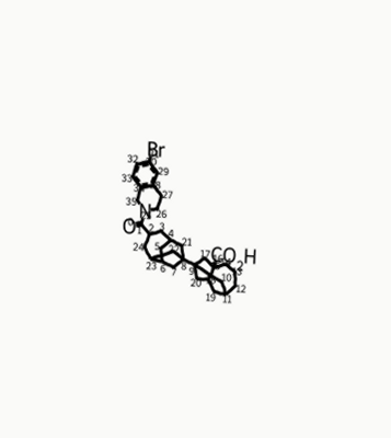 O=C(C1CC2CC3CC(C45CC6CCCC(C(=O)O)(C4)C(C6)C5)(C2)CC3C1)N1CCc2cc(Br)ccc2C1